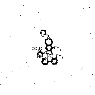 CCOc1c(C(=O)O)cnn1-c1cccc(-c2cccc(C)c2OCc2ccc3c(c2C)CCN(C[C@H]2CCCO2)CC3)n1